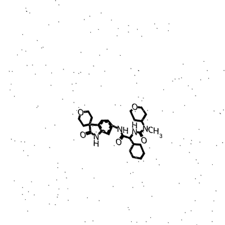 CN(C(=O)NC(C(=O)Nc1ccc2c(c1)NC(=O)C21CCOCC1)C1CCCCC1)C1CCOCC1